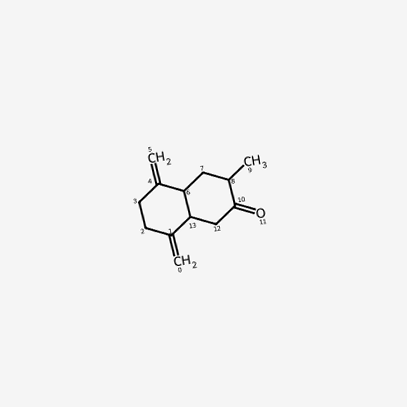 C=C1CCC(=C)C2CC(C)C(=O)CC12